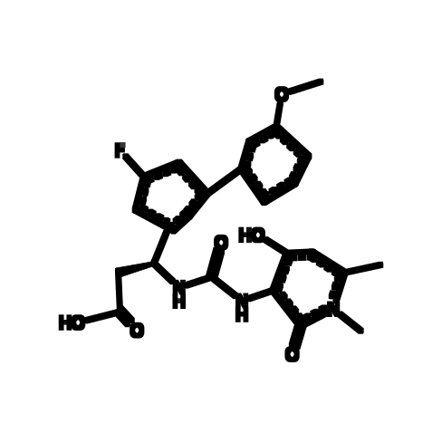 COc1cccc(-c2cc(F)cc([C@H](CC(=O)O)NC(=O)Nc3c(O)cc(C)n(C)c3=O)c2)c1